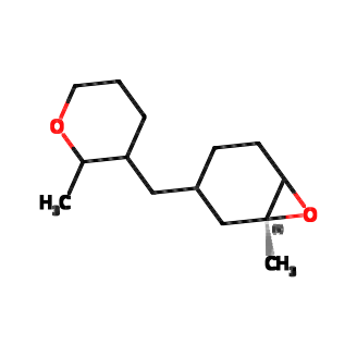 CC1OCCCC1CC1CCC2O[C@@]2(C)C1